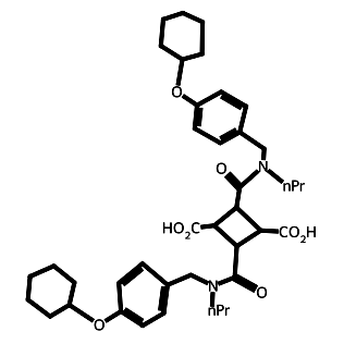 CCCN(Cc1ccc(OC2CCCCC2)cc1)C(=O)C1C(C(=O)O)C(C(=O)N(CCC)Cc2ccc(OC3CCCCC3)cc2)C1C(=O)O